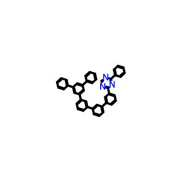 c1ccc(-c2cc(-c3ccccc3)cc(-c3cccc(-c4cccc(-c5cccc(-c6ncnc(-c7ccccc7)n6)c5)c4)c3)c2)cc1